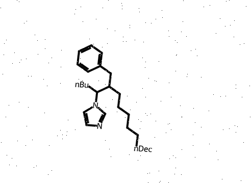 CCCCCCCCCCCCCCCC(Cc1ccccc1)C(CCCC)n1ccnc1